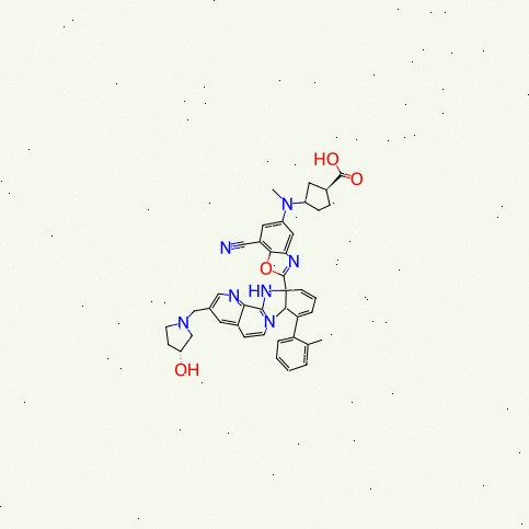 Cc1ccccc1C1=CC=CC(Nc2nccc3cc(CN4CC[C@@H](O)C4)cnc23)(c2nc3cc(N(C)C4CC[C@H](C(=O)O)C4)cc(C#N)c3o2)C1C